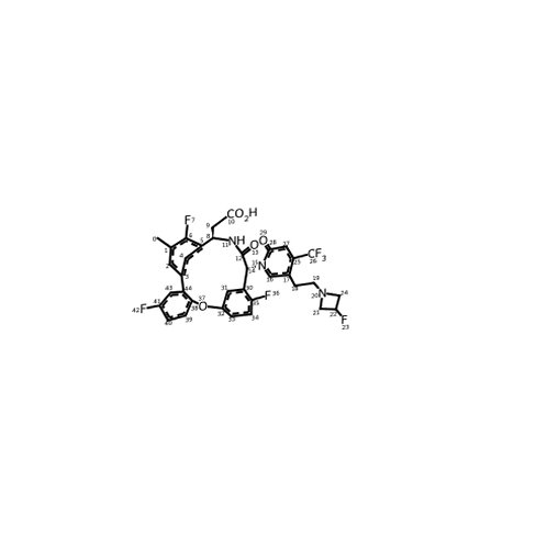 Cc1cc2cc(c1F)[C@@H](CC(=O)O)NC(=O)[C@H](n1cc(CCN3CC(F)C3)c(C(F)(F)F)cc1=O)c1cc(ccc1F)Oc1ccc(F)cc1-2